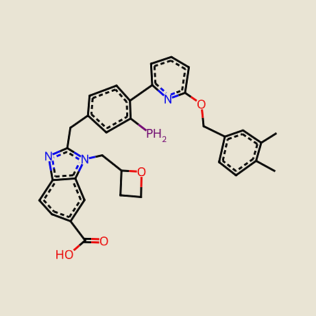 Cc1ccc(COc2cccc(-c3ccc(Cc4nc5ccc(C(=O)O)cc5n4CC4CCO4)cc3P)n2)cc1C